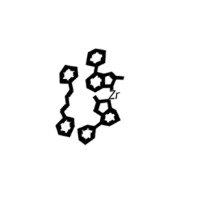 C(/C=C/c1ccccc1)=C\c1ccccc1.CC1=Cc2c(-c3ccccc3)cccc2[CH]1[Zr][CH]1C(C)=Cc2c(-c3ccccc3)cccc21